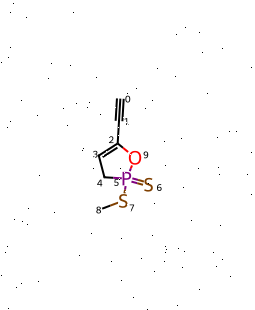 C#CC1=CCP(=S)(SC)O1